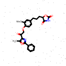 COc1cc(CCCC2OC(=O)NC2=O)ccc1OCC(=O)c1nc(-c2ccccc2)oc1C